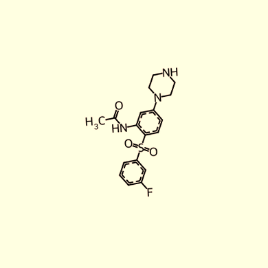 CC(=O)Nc1cc(N2CCNCC2)ccc1S(=O)(=O)c1cccc(F)c1